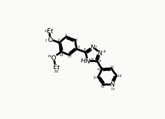 CCOc1ccc(-c2nnc(-c3ccncc3)[nH]2)cc1OCC